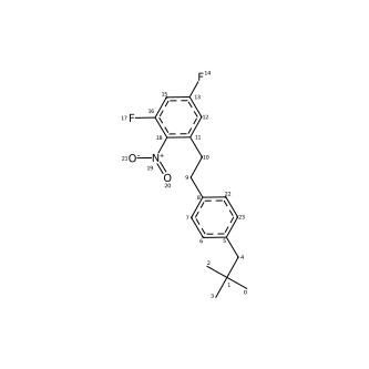 CC(C)(C)Cc1ccc(CCc2cc(F)cc(F)c2[N+](=O)[O-])cc1